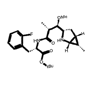 CO[C@@H]([C@@H]1C[C@@H]2[C@H](C)[C@@H]2N1)[C@@H](C)C(=O)N[C@@H](Cc1ccccc1F)C(=O)OC(C)(C)C